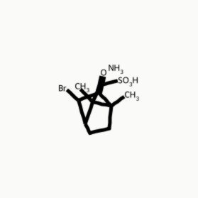 CC12CCC(C(Br)C1=O)C2(C)CS(=O)(=O)O.N